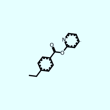 CCc1ccc(C(=O)Oc2c[c]ccn2)cc1